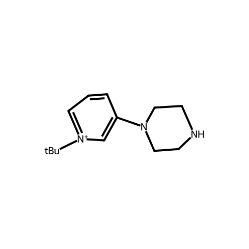 CC(C)(C)[n+]1cccc(N2CCNCC2)c1